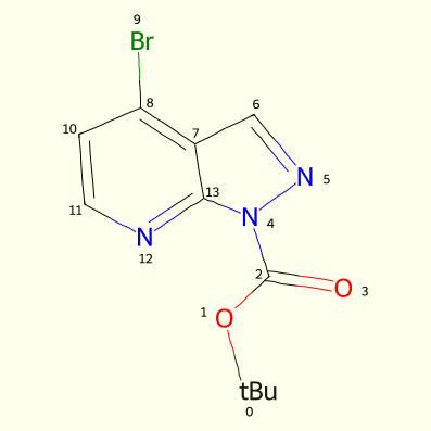 CC(C)(C)OC(=O)n1ncc2c(Br)ccnc21